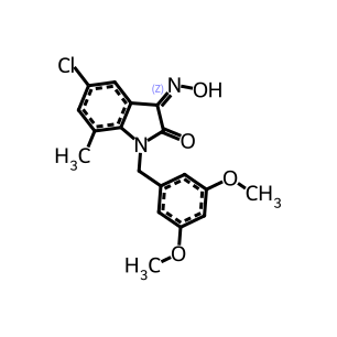 COc1cc(CN2C(=O)/C(=N\O)c3cc(Cl)cc(C)c32)cc(OC)c1